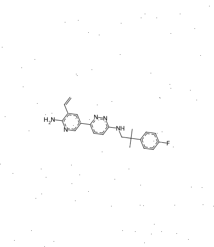 C=Cc1cc(-c2ccc(NCC(C)(C)c3ccc(F)cc3)nn2)cnc1N